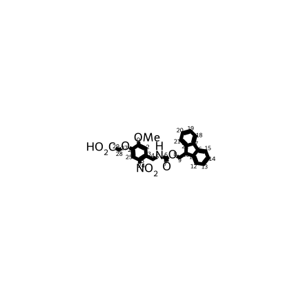 COc1cc(CNC(=O)OCC2c3ccccc3-c3ccccc32)c([N+](=O)[O-])cc1OCC(=O)O